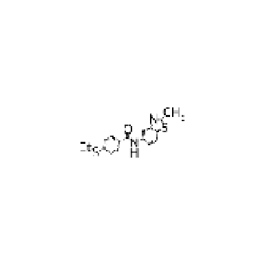 CCSc1ccc(C(=O)Nc2ccc3sc(C)nc3c2)cc1